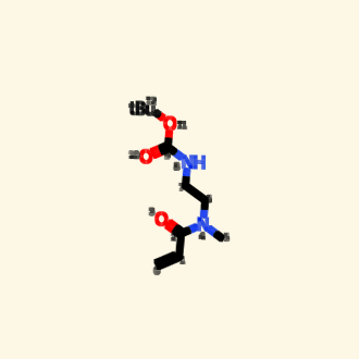 C=CC(=O)N(C)CCNC(=O)OC(C)(C)C